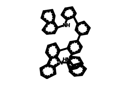 c1ccc(Nc2ccc(-c3cccc(-c4ccccc4Nc4cccc5ccccc45)c3)cc2-c2cccc3c4ccccc4n(-c4ccccc4)c23)cc1